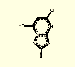 Cc1nc2nc(O)cc(O)n2n1